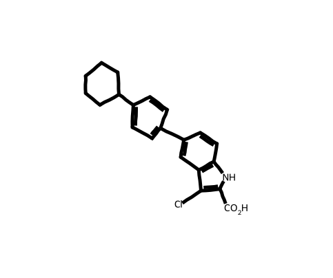 O=C(O)c1[nH]c2ccc(-c3ccc(C4CCCCC4)cc3)cc2c1Cl